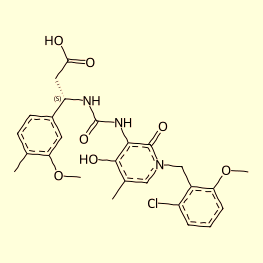 COc1cc([C@H](CC(=O)O)NC(=O)Nc2c(O)c(C)cn(Cc3c(Cl)cccc3OC)c2=O)ccc1C